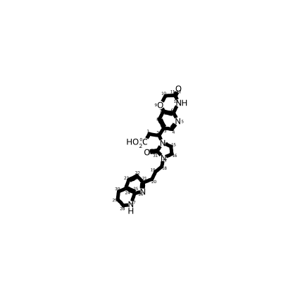 O=C(O)CC(c1cnc2c(c1)OCC(=O)N2)N1CCN(CCCc2ccc3c(n2)NCCC3)C1=O